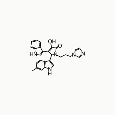 Cc1ccc2c(C3C(c4c[nH]c5ccccc45)=C(O)C(=O)N3CCCn3ccnc3)c[nH]c2c1